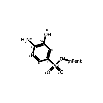 CCCCCOS(=O)(=O)c1cnc(N)c(O)c1